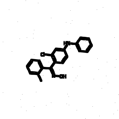 Cc1ccccc1C(=NO)c1ccc(Nc2ccccc2)cc1Cl